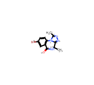 Cc1nnc2n1-c1ccc(Br)cc1C(=O)NC2C